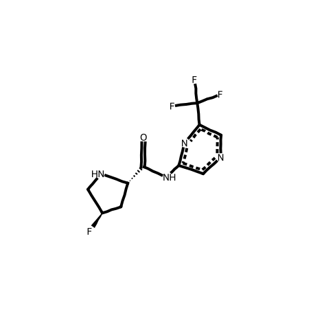 O=C(Nc1cncc(C(F)(F)F)n1)[C@@H]1C[C@@H](F)CN1